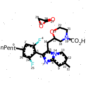 CCCCCc1cc(F)c(-c2nc3cc(C)ccn3c2CC2CN(C(=O)O)CCO2)c(F)c1.O=C1CO1